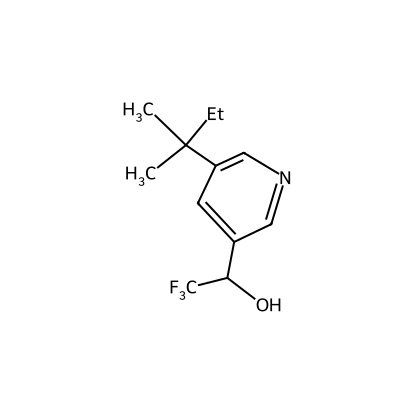 CCC(C)(C)c1cncc(C(O)C(F)(F)F)c1